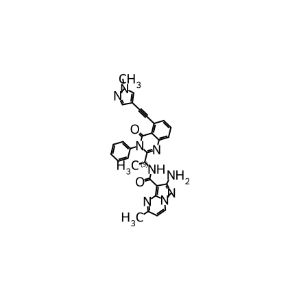 Cc1ccn2nc(N)c(C(=O)N[C@@H](C)c3nc4cccc(C#Cc5cnn(C)c5)c4c(=O)n3-c3ccccc3)c2n1